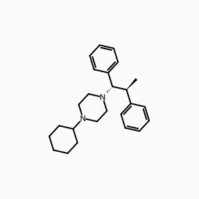 C[C@@H](c1ccccc1)[C@@H](c1ccccc1)N1CCN(C2CCCCC2)CC1